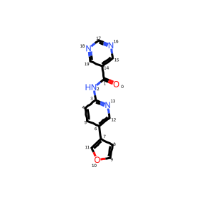 O=C(Nc1ccc(-c2ccoc2)cn1)c1cncnc1